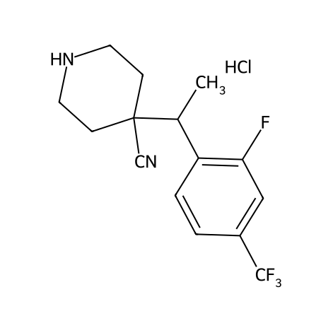 CC(c1ccc(C(F)(F)F)cc1F)C1(C#N)CCNCC1.Cl